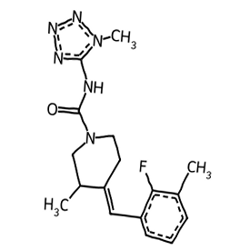 Cc1cccc(C=C2CCN(C(=O)Nc3nnnn3C)CC2C)c1F